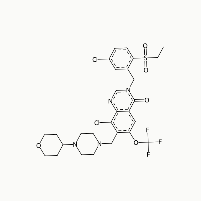 CCS(=O)(=O)c1ccc(Cl)cc1Cn1cnc2c(Cl)c(CN3CCN(C4CCOCC4)CC3)c(OC(F)(F)F)cc2c1=O